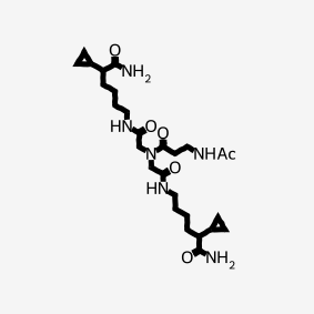 CC(=O)NCCC(=O)N(CC(=O)NCCCCC(C(N)=O)C1CC1)CC(=O)NCCCCC(C(N)=O)C1CC1